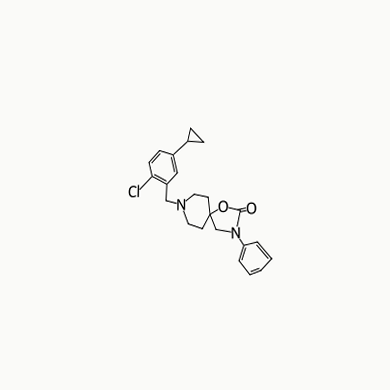 O=C1OC2(CCN(Cc3cc(C4CC4)ccc3Cl)CC2)CN1c1ccccc1